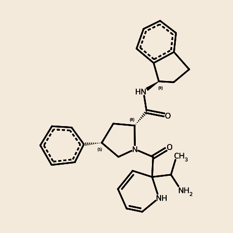 CC(N)C1(C(=O)N2C[C@H](c3ccccc3)C[C@@H]2C(=O)N[C@@H]2CCc3ccccc32)C=CC=CN1